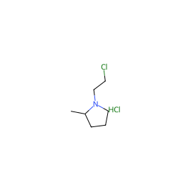 CC1CCCN1CCCl.Cl